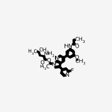 C=CC(=O)Nc1cc(OC)cc(-c2cnc3c(c2)c(-c2ccnc(F)c2)cn3C(C)OC(=O)[C@@H](N)CC(C)C)c1